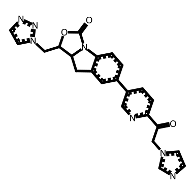 O=C(Cn1ccnc1)c1ccc(-c2ccc3c(c2)CC2C(Cn4ccnn4)OC(=O)N32)cn1